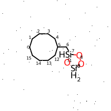 C1CCCCC(C[SiH]2OO[SiH2]O2)CCCC1